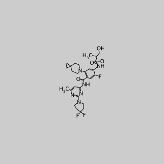 Cc1cc(NC(=O)c2cc(F)c(NS(=O)(=O)C(C)CO)cc2N2CCC3(CC2)CC3)nc(N2CCC(F)(F)CC2)n1